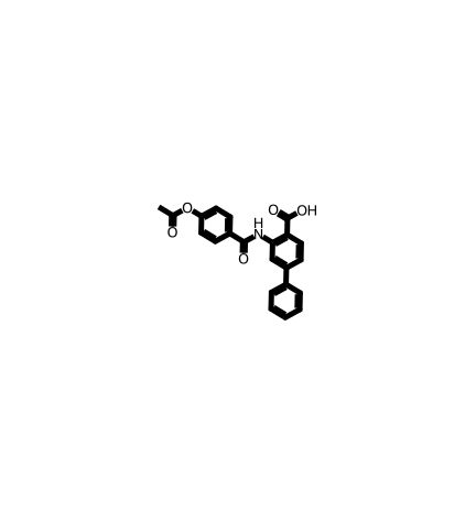 CC(=O)Oc1ccc(C(=O)Nc2cc(-c3ccccc3)ccc2C(=O)O)cc1